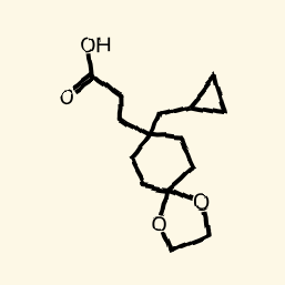 O=C(O)CCC1(CC2CC2)CCC2(CC1)OCCO2